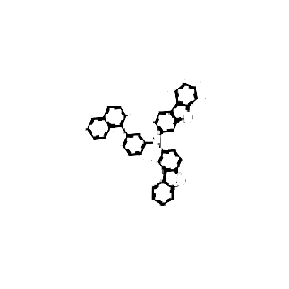 c1cc(-c2cccc3ccccc23)cc(N(c2ccc3c(c2)oc2ccccc23)c2ccc3oc4ccccc4c3c2)c1